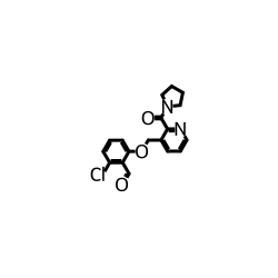 O=Cc1c(Cl)cccc1OCc1cccnc1C(=O)N1CCCC1